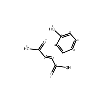 O=C(O)C=CC(=O)O.Oc1ccccc1